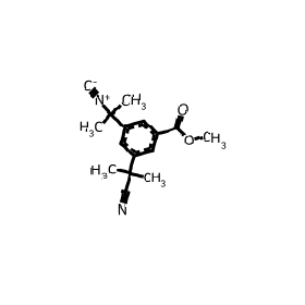 [C-]#[N+]C(C)(C)c1cc(C(=O)OC)cc(C(C)(C)C#N)c1